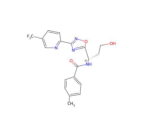 Cc1ccc(C(=O)N[C@@H](CCO)c2nc(-c3ccc(C(F)(F)F)cn3)no2)cc1